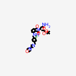 CC(C)(C)OC(=O)CC[C@@H](CC(N)=O)N1C(=O)c2cccc(NCc3ccc(CN4CC(N5CCOCC5)C4)cc3F)c2C1=O